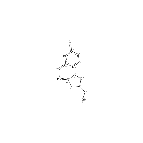 O=c1ccn([C@@H]2OC(CO)C[C@H]2O)c(=O)[nH]1